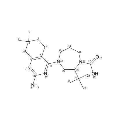 CC1(C)CCc2c(nc(N)nc2N2CCCN(C(=O)O)C(C(C)(C)C)C2)C1